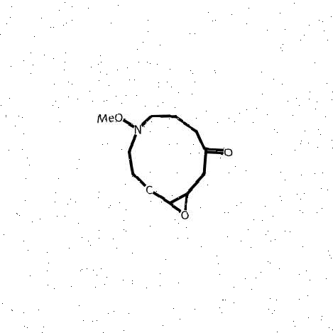 CON1CCCC(=O)CC2OC2CCC1